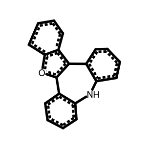 c1ccc2c(c1)Nc1ccccc1-c1c-2oc2ccccc12